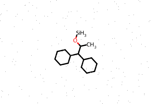 CC(O[SiH3])C(C1CCCCC1)C1CCCCC1